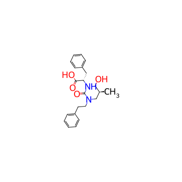 C[C@H](CO)CN(CCc1ccccc1)C(=O)N[C@@H](Cc1ccccc1)C(=O)O